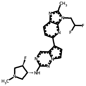 Cc1nc2ccc(-c3ccn4nc(N[C@@H]5CN(C)C[C@H]5F)ncc34)nc2n1CC(F)F